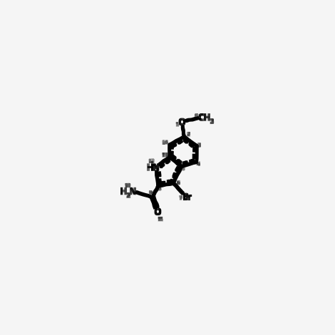 COc1ccc2c(Br)c(C(N)=O)[nH]c2c1